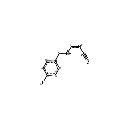 N#C/N=[C]\NCc1ccc(F)cc1